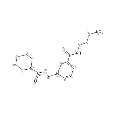 O=C(NCCO[N+](=O)[O-])C1=CC=CN(COC(=O)N2CCCCC2)C1